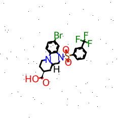 O=C(O)[C@H]1CCN2c3ccc(Br)cc3N(S(=O)(=O)c3cccc(C(F)(F)F)c3)C[C@@H]2C1